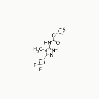 Cc1c(C2CC(F)(F)C2)nn(I)c1NC(=O)OC1CSC1